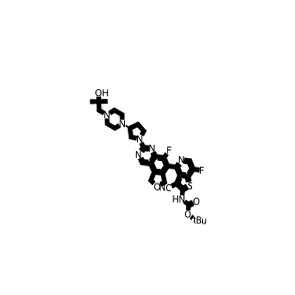 CC(C)(O)CN1CCN([C@@H]2CCN(c3ncc4c5c(c(-c6ncc(F)c7sc(NC(=O)OC(C)(C)C)c(C#N)c67)c(F)c4n3)COC5)C2)CC1